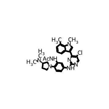 CC(=O)Nc1cc(Nc2ncc(Cl)c(-c3cn(C)c4c(C)cccc34)n2)ccc1N1CC[C@@H](N(C)C)C1